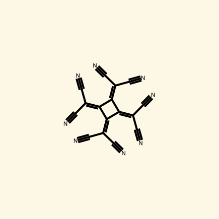 N#CC(C#N)=C1C(=C(C#N)C#N)C(=C(C#N)C#N)C1=C(C#N)C#N